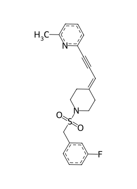 Cc1cccc(C#CC=C2CCN(S(=O)(=O)Cc3cccc(F)c3)CC2)n1